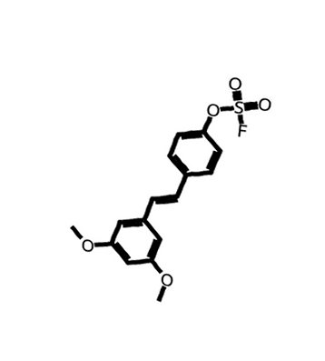 COc1cc(/C=C/c2ccc(OS(=O)(=O)F)cc2)cc(OC)c1